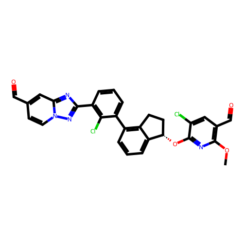 COc1nc(O[C@H]2CCc3c(-c4cccc(-c5nc6cc(C=O)ccn6n5)c4Cl)cccc32)c(Cl)cc1C=O